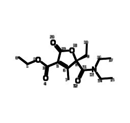 CCOC(=O)C1=C(C)[C@@](CC)(C(=O)N(CC)CC)OC1=O